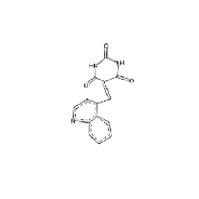 O=C1NC(=O)C(=Cc2ccnc3ccccc23)C(=O)N1